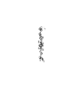 C=CC(=O)OCCCCOc1ccc(/C=C(\C#N)C(=O)O[C@@H]2COC3C2OC[C@@H]3OC(=O)/C(C#N)=C/c2ccc(OC(=O)c3ccc(OCCCCOC(=O)C=C)cc3)cc2)cc1